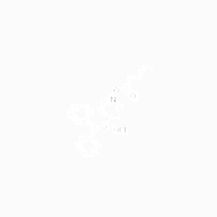 CCCCC(=O)ON1CCC(OC(c2ccccc2)c2ccccc2)CC1.Cl